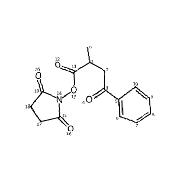 CC(CC(=O)c1ccccc1)C(=O)ON1C(=O)CCC1=O